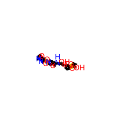 CN1CCOc2cc(S(=O)(=O)N3CCC4(CC3)C[C@@H](NC[C@H](O)COc3cccc(S(=O)(=O)C5(CO)CC5)c3)CO4)cnc21